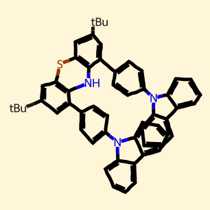 CC(C)(C)c1cc2c(c(-c3ccc(-n4c5ccccc5c5ccccc54)cc3)c1)Nc1c(cc(C(C)(C)C)cc1-c1ccc(-n3c4ccccc4c4ccccc43)cc1)S2